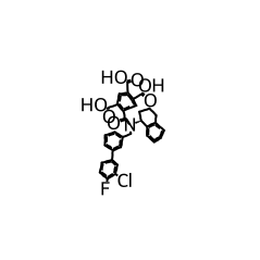 O=C(O)c1cc(C(=O)O)c(C(=O)N(Cc2cccc(-c3ccc(F)c(Cl)c3)c2)[C@H]2CCCc3ccccc32)cc1C(=O)O